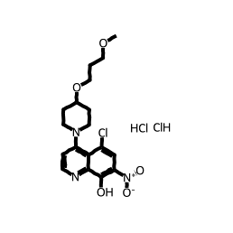 COCCCOC1CCN(c2ccnc3c(O)c([N+](=O)[O-])cc(Cl)c23)CC1.Cl.Cl